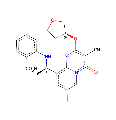 Cc1cc([C@@H](C)Nc2ccccc2C(=O)O)c2nc(O[C@H]3CCOC3)c(C#N)c(=O)n2c1